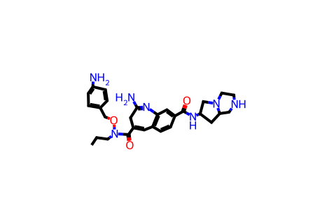 CCCN(OCc1ccc(N)cc1)C(=O)C1=Cc2ccc(C(=O)NC3CC4CNCCN4C3)cc2N=C(N)C1